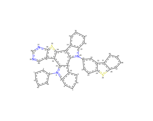 c1ccc(-n2c3ccccc3c3c4c(c5ccccc5n4-c4ccc5sc6ccccc6c5c4)c4sc5ncncc5c4c32)cc1